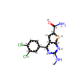 CNc1nc(-c2ccc(Cl)c(Cl)c2)c2cc(C(N)=O)sc2n1